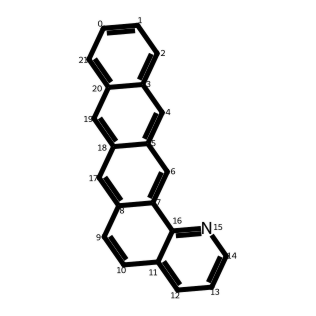 c1ccc2cc3cc4c(ccc5cccnc54)cc3cc2c1